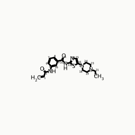 C=CC(=O)Nc1cccc(C(=O)Nc2ncc(N3CCN(CC)CC3)s2)c1